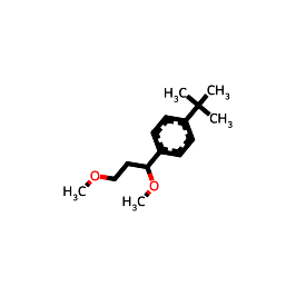 COCCC(OC)c1ccc(C(C)(C)C)cc1